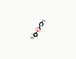 CC[C@H]1CC[C@H]([C@H]2CO[C@H](c3cc(F)c(C#N)c(F)c3)OC2)CC1